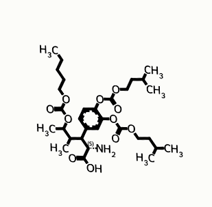 CCCCCOC(=O)OC(C)C(C)C(c1ccc(OC(=O)OCCC(C)C)c(OC(=O)OCCC(C)C)c1)[C@H](N)C(=O)O